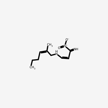 CCC/C=C(/C)CN/C=C\C(=N)[N+](=O)[O-]